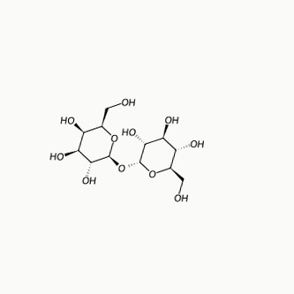 OC[C@H]1O[C@@H](O[C@H]2O[C@H](CO)[C@@H](O)[C@H](O)[C@H]2O)[C@H](O)[C@@H](O)[C@H]1O